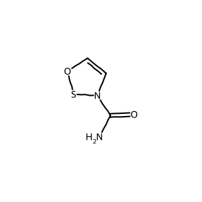 NC(=O)N1C=COS1